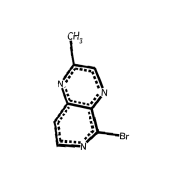 Cc1cnc2c(Br)nccc2n1